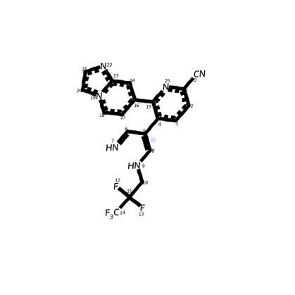 N#Cc1ccc(/C(C=N)=C/NCC(F)(F)C(F)(F)F)c(-c2ccn3ccnc3c2)n1